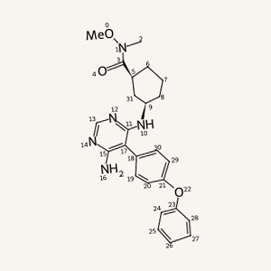 CON(C)C(=O)[C@H]1CCC[C@@H](Nc2ncnc(N)c2-c2ccc(Oc3ccccc3)cc2)C1